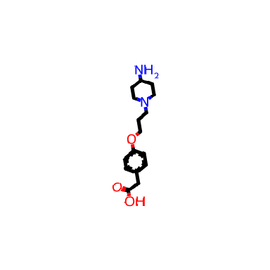 NC1CCN(CCCOc2ccc(CC(=O)O)cc2)CC1